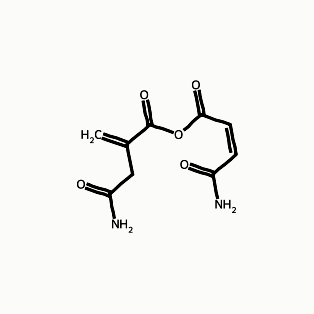 C=C(CC(N)=O)C(=O)OC(=O)/C=C\C(N)=O